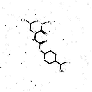 COC(=O)[C@H](CC(C)C)NC(=O)OC1CCC(C(C)C)CC1